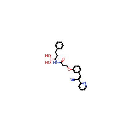 N#CC(=Cc1cccc(OCCC(=O)NC(CCc2ccccc2)B(O)O)c1)c1ccccn1